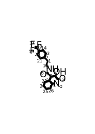 Cn1c(=O)c(O)c(C(=O)NCCc2ccc(C(F)(F)F)cc2)c2ccccc21